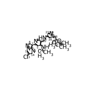 CC(C)Nc1cc(-c2cnn3cc(Cl)cnc23)ncc1CNc1cnn(CC(=O)OC(C)(C)C)c1